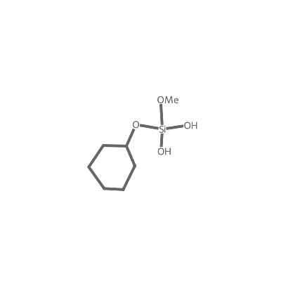 CO[Si](O)(O)OC1CCCCC1